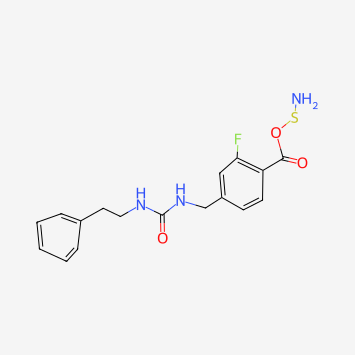 NSOC(=O)c1ccc(CNC(=O)NCCc2ccccc2)cc1F